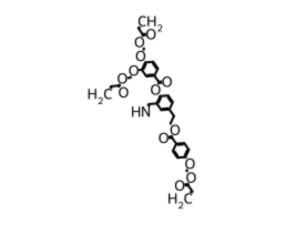 C=CC(=O)OCOc1ccc(C(=O)OCCc2ccc(OC(=O)c3ccc(OCOC(=O)C=C)c(OCOC(=O)C=C)c3)c(C=N)c2)cc1